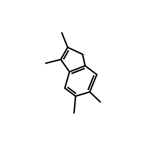 CC1=C(C)c2cc(C)c(C)cc2[CH]1